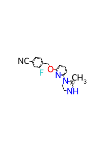 C[C@@H]1CNCCN1c1cccc(OCc2ccc(C#N)cc2F)n1